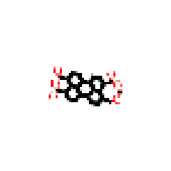 O=C1OCOCc2ccc3c4ccc5c6c(ccc(c7ccc1c2c37)c64)C(=O)OC5=O